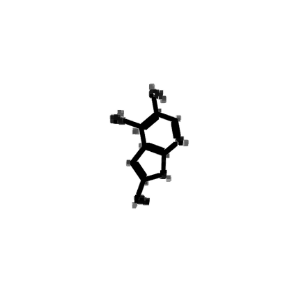 Cc1cnc2sc(C(C)(C)C)cc2c1C(C)(C)C